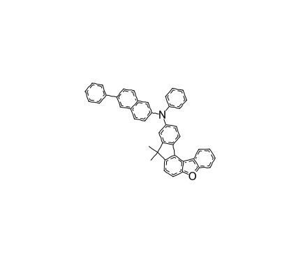 CC1(C)c2cc(N(c3ccccc3)c3ccc4cc(-c5ccccc5)ccc4c3)ccc2-c2c1ccc1oc3ccccc3c21